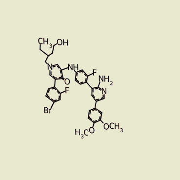 CCC(CCO)Cn1cc(Nc2ccc(-c3cc(-c4ccc(OC)c(OC)c4)cnc3N)c(F)c2)c(=O)c(-c2ccc(Br)cc2F)c1